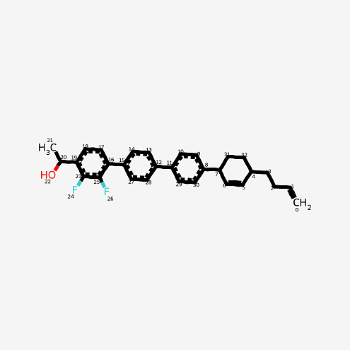 C=CCCC1C=CC(c2ccc(-c3ccc(-c4ccc(C(C)O)c(F)c4F)cc3)cc2)CC1